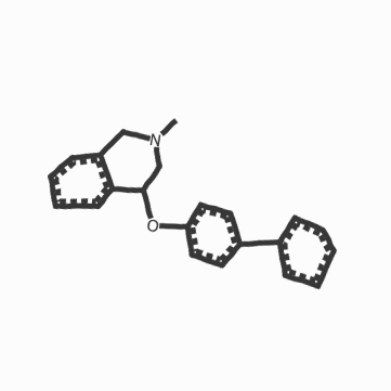 CN1Cc2ccccc2C(Oc2ccc(-c3ccccc3)cc2)C1